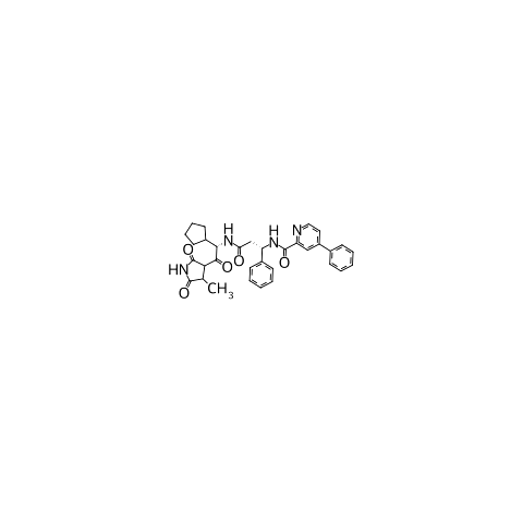 CC1C(=O)NC(=O)C1C(=O)[C@@H](NC(=O)C[C@H](NC(=O)c1cc(-c2ccccc2)ccn1)c1ccccc1)C1CCCC1